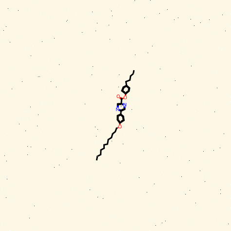 CCCCCCCCCCCCOc1ccc(-c2cnc(C(=O)Oc3ccc(CCCCC)cc3)cn2)cc1